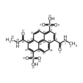 CNC(=O)c1cc(S(=O)(=O)O)c2ccc3c(C(=O)NC)cc(S(=O)(=O)O)c4ccc1c2c34